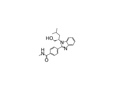 CNC(=O)c1ccc(-c2nc3ccccc3n2[C@@H](CO)CC(C)C)cc1